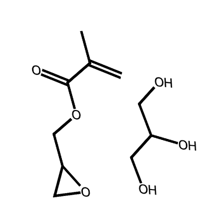 C=C(C)C(=O)OCC1CO1.OCC(O)CO